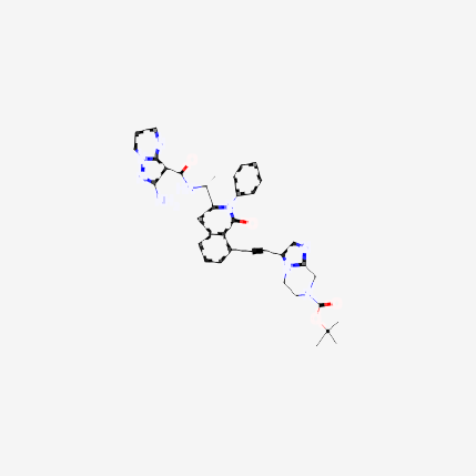 C[C@H](NC(=O)c1c(N)nn2cccnc12)c1cc2cccc(C#Cc3cnc4n3CCN(C(=O)OC(C)(C)C)C4)c2c(=O)n1-c1ccccc1